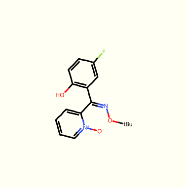 CC(C)(C)ON=C(c1cc(F)ccc1O)c1cccc[n+]1[O-]